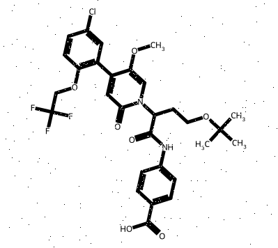 COc1cn(C(CCOC(C)(C)C)C(=O)Nc2ccc(C(=O)O)cc2)c(=O)cc1-c1cc(Cl)ccc1OCC(F)(F)F